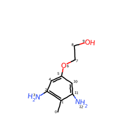 Cc1c(N)cc(OCCO)cc1N